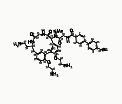 CCCCc1ccc(-c2ccc(C(=O)NCC(=O)N(NC)C3C(=O)NCC(=O)NC(CCN)Cc4ccc(OCCN)c(c4)-c4cc3ccc4OCCN)cc2)cc1